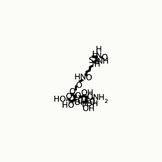 NC(=O)O[C@@H]1[C@H](O)[C@@H](O[C@@H]2[C@H](OCCOCCNC(=O)CCCC[C@@H]3SC[C@@H]4NC(=O)N[C@@H]43)O[C@@H](CO)[C@@H](O)[C@H]2O)O[C@H](CO)[C@@H]1O